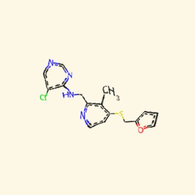 Cc1c(SCc2ccco2)ccnc1CNc1ncncc1Cl